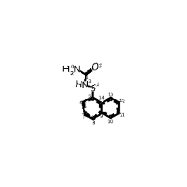 NC(=O)NSc1cccc2ccccc12